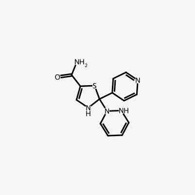 NC(=O)C1=CNC(c2ccncc2)(N2C=CC=CN2)S1